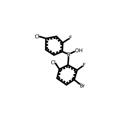 OB(c1ccc(Cl)cc1F)c1c(Cl)ccc(Br)c1F